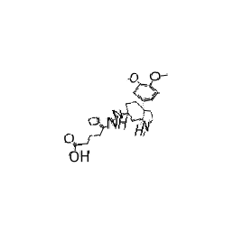 COc1ccc([C@@]23CC/C(=N/NC(=O)CCCC(=O)O)C[C@@H]2N(C)CC3)cc1OC